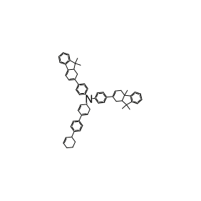 CC1(C)c2ccccc2C2=CC=C(c3ccc(N(c4ccc(C5=CCC6(C)c7ccccc7C(C)(C)C6C5)cc4)C4C=CC(c5ccc(C6C=CCCC6)cc5)=CC4)cc3)CC21